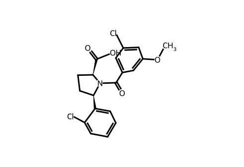 COc1cc(Cl)cc(C(=O)N2[C@@H](c3ccccc3Cl)CC[C@H]2C(=O)O)c1